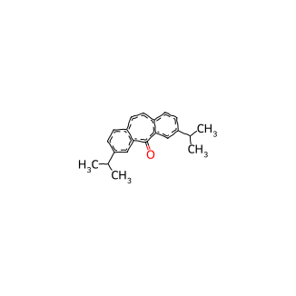 CC(C)c1ccc2ccc3ccc(C(C)C)cc3c(=O)c2c1